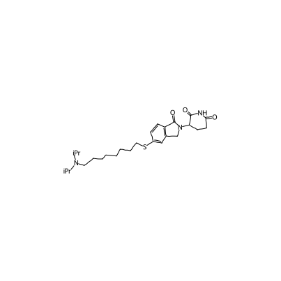 CC(C)N(CCCCCCCCSc1ccc2c(c1)CN(C1CCC(=O)NC1=O)C2=O)C(C)C